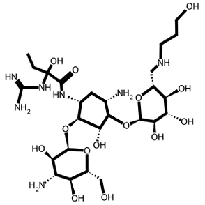 CCC(O)(NC(=N)N)C(=O)N[C@@H]1C[C@H](N)C(O[C@H]2O[C@H](CNCCCO)[C@@H](O)[C@H](O)[C@H]2O)[C@H](O)[C@H]1O[C@H]1O[C@H](CO)[C@@H](O)[C@H](N)[C@H]1O